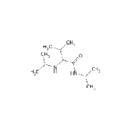 CC(C)NC(=O)C(NC(C)C)C(C)C